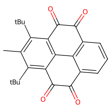 Cc1c(C(C)(C)C)c2c3c(c1C(C)(C)C)c(=O)c(=O)c1cccc(c1-3)c(=O)c2=O